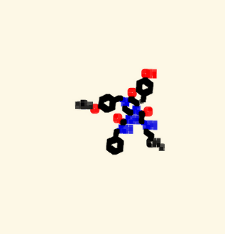 C=CCNCC(=O)N1[C@@H](NC(=O)NCc2ccccc2)CN(Cc2ccc(OCCCC)cc2)C(=O)[C@@H]1Cc1ccc(O)cc1